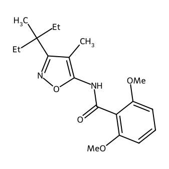 CCC(C)(CC)c1noc(NC(=O)c2c(OC)cccc2OC)c1C